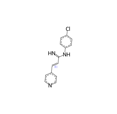 N=C(/C=C/c1ccncc1)Nc1ccc(Cl)cc1